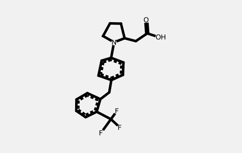 O=C(O)CC1CCCN1c1ccc(Cc2ccccc2C(F)(F)F)cc1